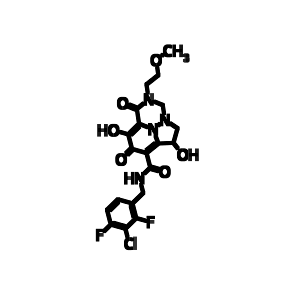 COCCN1CN2CC(O)c3c(C(=O)NCc4ccc(F)c(Cl)c4F)c(=O)c(O)c(n32)C1=O